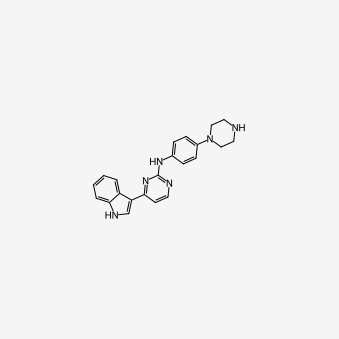 c1ccc2c(-c3ccnc(Nc4ccc(N5CCNCC5)cc4)n3)c[nH]c2c1